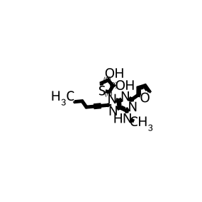 CCCCC#Cc1nc2c(NC)nc(-c3ccco3)nc2n1[C@@H]1SC[C@@H](O)[C@H]1O